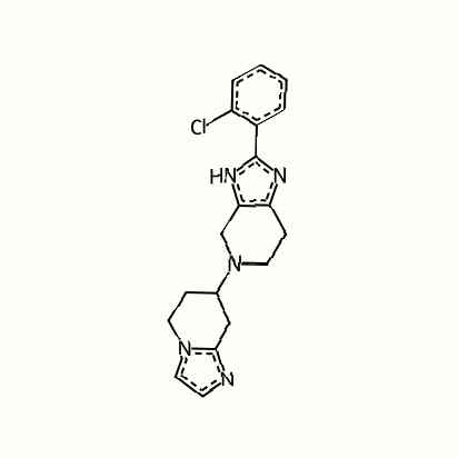 Clc1ccccc1-c1nc2c([nH]1)CN(C1CCn3ccnc3C1)CC2